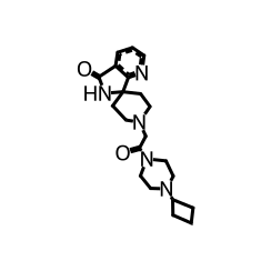 O=C1NC2(CCN(CC(=O)N3CCN(C4CCC4)CC3)CC2)c2ncccc21